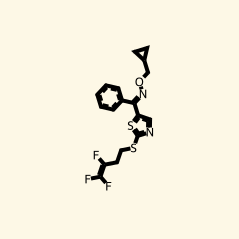 FC(F)=C(F)CCSc1ncc(/C(=N/OCC2CC2)c2ccccc2)s1